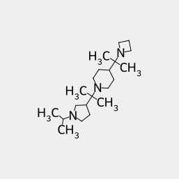 CC(C)N1CCC(C(C)(C)N2CCC(C(C)(C)N3CCC3)CC2)C1